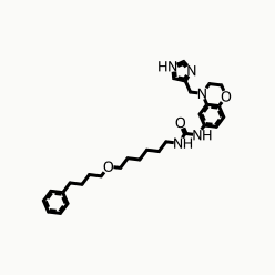 O=C(NCCCCCCOCCCCc1ccccc1)Nc1ccc2c(c1)N(Cc1c[nH]cn1)CCO2